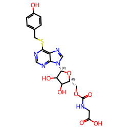 O=C(O)CNC(=O)OC[C@H]1O[C@@H](n2cnc3c(SCc4ccc(O)cc4)ncnc32)C(O)C1O